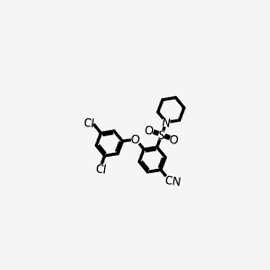 N#Cc1ccc(Oc2cc(Cl)cc(Cl)c2)c(S(=O)(=O)N2CCCCC2)c1